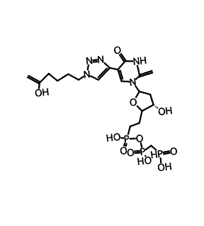 C=C(O)CCCCn1cc(C2=CN(C3C[C@H](O)C(CCP(=O)(O)OP(=O)(O)C[PH](=O)O)O3)C(=C)NC2=O)nn1